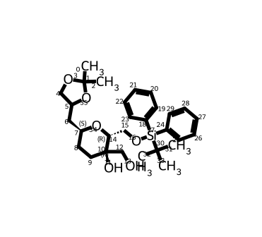 CC1(C)OCC(C[C@@H]2CC[C@@](O)(CO)[C@@H](CO[Si](c3ccccc3)(c3ccccc3)C(C)(C)C)O2)O1